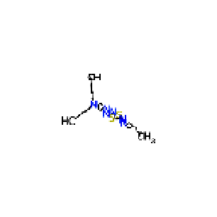 C#CC#CC#CC#CN(C#CC#CC#CC#C)c1ccc(N=Nc2nc3sc(N=Nc4ccc(CCCC)cc4)cc3s2)cc1